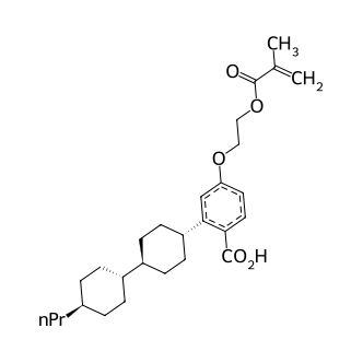 C=C(C)C(=O)OCCOc1ccc(C(=O)O)c([C@H]2CC[C@H]([C@H]3CC[C@H](CCC)CC3)CC2)c1